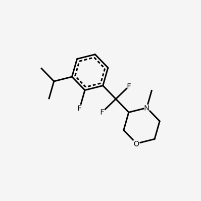 CC(C)c1cccc(C(F)(F)C2COCCN2C)c1F